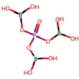 O=P(OB(O)O)(OB(O)O)OB(O)O